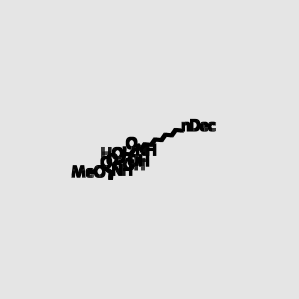 C=C(NC(=O)C(O)C(C)(O)C(O)C(=O)NCCCCCCCCCCCCCCCCCC)C(=O)OC